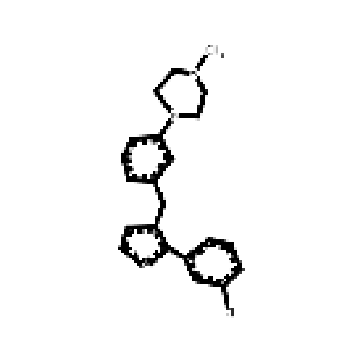 CN1CCN(c2cccc(Cc3ccsc3-c3cccc(Cl)c3)c2)CC1